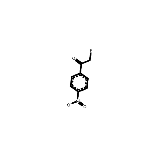 O=C(CF)c1ccc([N+](=O)[O-])cc1